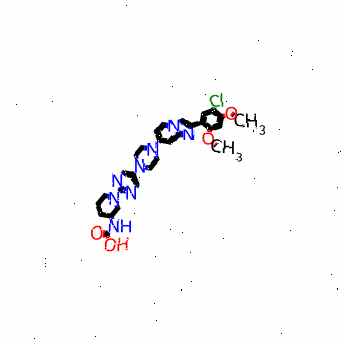 COc1cc(OC)c(-c2cn3ccc(N4CCN(c5cnc(N6CCCC(NC(=O)O)C6)nc5)CC4)cc3n2)cc1Cl